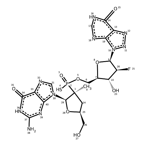 C[C@]1(P(=O)(S)OC[C@H]2O[C@@H](n3nnc4c(=O)[nH]cnc43)[C@@H](F)[C@@H]2O)C[C@@H](CO)O[C@H]1n1cnc2c(=O)[nH]c(N)nc21